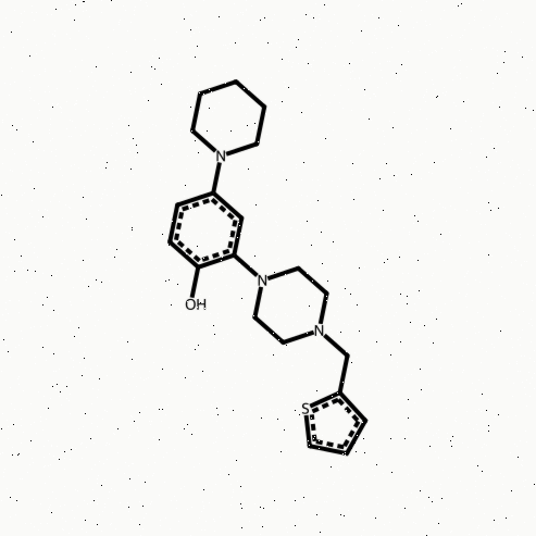 Oc1ccc(N2CCCCC2)cc1N1CCN(Cc2cccs2)CC1